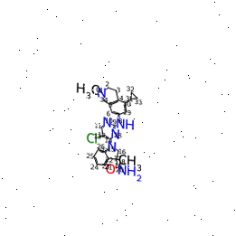 CN1CCc2c(cc(Nc3ncc(Cl)c(N4CC(C)(C(N)=O)c5ccccc54)n3)cc2C2CC2)C1